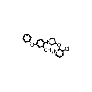 Cc1cc(Oc2ccccc2)ccc1N1CCC(Oc2ncccc2Cl)C1